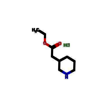 CCOC(=O)CC1CCCNC1.Cl